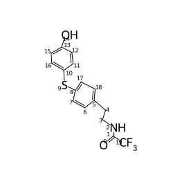 O=C(NCCc1ccc(Sc2ccc(O)cc2)cc1)C(F)(F)F